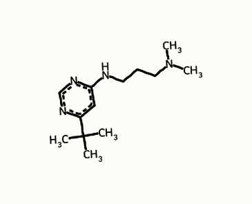 CN(C)CCCNc1cc(C(C)(C)C)ncn1